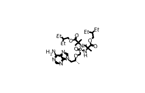 CCC(CC)COC(=O)C(C)(C)NP(=O)(CO[C@H](C)Cn1cnc2c(N)ncnc21)NC(C)(C)C(=O)OCC(CC)CC